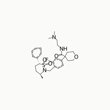 C[C@H]1CC[C@H](c2ccccc2)S(=O)(=O)N1Cc1ccc(C2(C(=O)NCCN(C)C)CCOCC2)cc1F